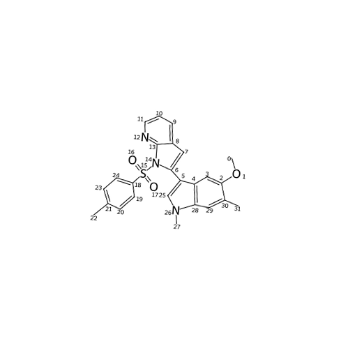 COc1cc2c(-c3cc4cccnc4n3S(=O)(=O)c3ccc(C)cc3)cn(C)c2cc1C